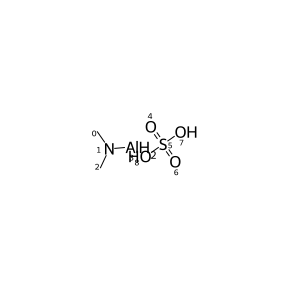 C[N](C)[AlH2].O=S(=O)(O)O